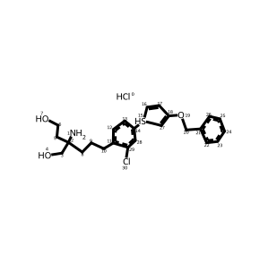 Cl.NC(CO)(CCO)CCCc1ccc([SH]2C=CC(OCc3ccccc3)=C2)cc1Cl